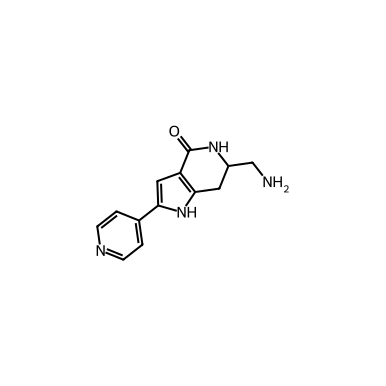 NCC1Cc2[nH]c(-c3ccncc3)cc2C(=O)N1